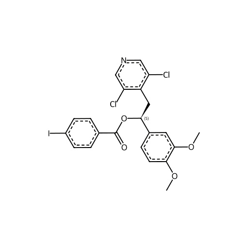 COc1ccc([C@H](Cc2c(Cl)cncc2Cl)OC(=O)c2ccc(I)cc2)cc1OC